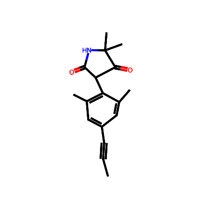 CC#Cc1cc(C)c(C2C(=O)NC(C)(C)C2=O)c(C)c1